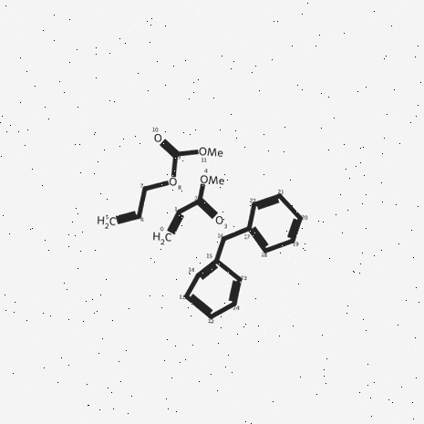 C=CC(=O)OC.C=CCOC(=O)OC.c1ccc(Cc2ccccc2)cc1